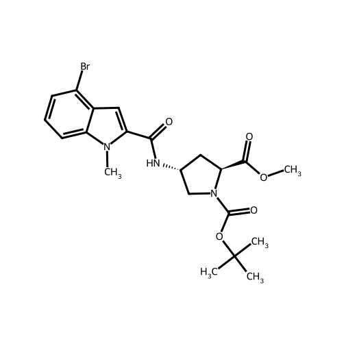 COC(=O)[C@@H]1C[C@@H](NC(=O)c2cc3c(Br)cccc3n2C)CN1C(=O)OC(C)(C)C